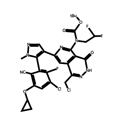 Cn1ncc(-c2cc3c(CCl)n[nH]c(=O)c3c(N(CC(F)F)C(=O)OC(C)(C)C)n2)c1-c1c(F)c(Cl)cc(OC2CC2)c1C#N